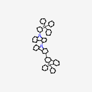 c1ccc([Si](c2ccccc2)(c2ccccc2)c2cccc(-n3c4ccccc4c4c(-n5c6ccccc6c6cc(-c7ccc8c(c7)-c7ccccc7[Si]8(c7ccccc7)c7ccccc7)ccc65)cccc43)c2)cc1